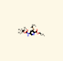 CCOC(=O)c1ncc(NC(=O)OC(C)(C)C)cc1SCC